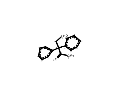 COC(=O)C(CC=O)(c1ccccc1)c1ccccc1